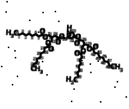 CCCCCCCCC(=O)OCC(COC(=O)CCCCCCCC)CC(=O)OC[C@H]1C[C@H](OC(=O)CC(COC(=O)CCCCCCCC)COC(=O)CCCCCCCC)CN1